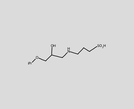 CC(C)OCC(O)CNCCCS(=O)(=O)O